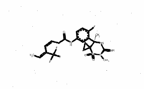 C/C=C(\C=C/CC(=O)Nc1ccc(F)c([C@@]2(C)NC(=N)N(C)S(=O)(=O)C23CC3)c1)C(F)(F)F